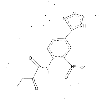 CCC(=O)C(=O)Nc1ccc(-c2nnn[nH]2)cc1[N+](=O)[O-]